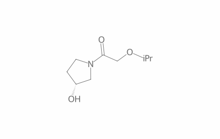 CC(C)OCC(=O)N1CC[C@@H](O)C1